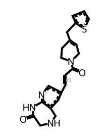 O=C1CNCc2cc(/C=C/C(=O)N3CC=C(Cc4cccs4)CC3)cnc2N1